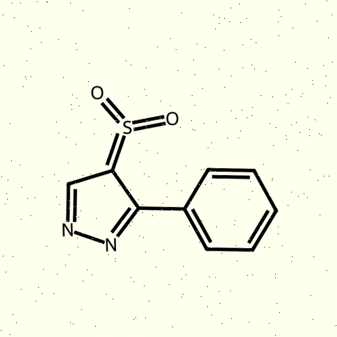 O=S(=O)=C1C=NN=C1c1ccccc1